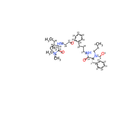 CCCN(C=O)[C@H](Cc1ccccc1)C(=O)NCCCc1ccccc1OCCN[C@H](C(=O)N(C)C)C(C)CC